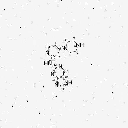 c1cc(N2CCNCC2)cc(Nc2ncc3[nH]cnc3n2)n1